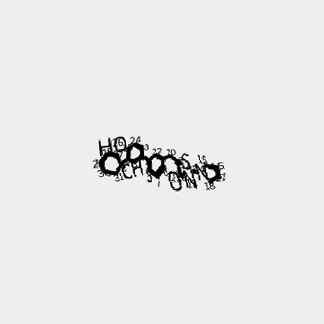 CC1(c2cc(-c3cccc(CC4SC(N5CCCC5)=NC4=O)c3)ccc2O)CCCCC1